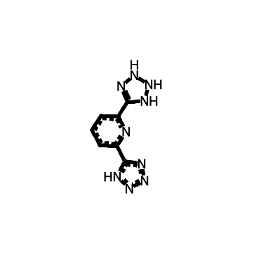 c1cc(C2=NNNN2)nc(-c2nnn[nH]2)c1